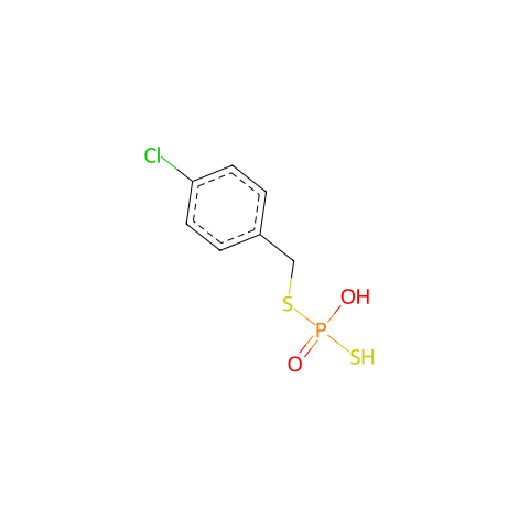 O=P(O)(S)SCc1ccc(Cl)cc1